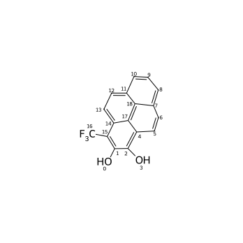 Oc1c(O)c2ccc3cccc4ccc(c1C(F)(F)F)c2c34